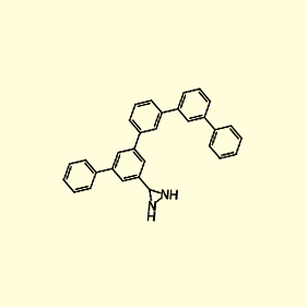 c1ccc(-c2cccc(-c3cccc(-c4cc(-c5ccccc5)cc(C5NN5)c4)c3)c2)cc1